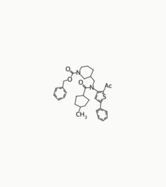 CC(=O)c1sc(-c2ccccc2)cc1N(CC1CCCN(C(=O)OCc2ccccc2)C1)C(=O)C1CCC(C)CC1